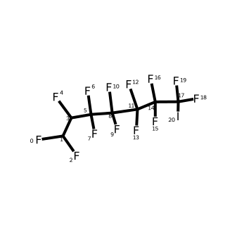 FC(F)C(F)C(F)(F)C(F)(F)C(F)(F)C(F)(F)C(F)(F)I